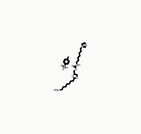 CCCCCCCCCCCCCCCCCC1OCC(COC(=O)NCCCCCCC[n+]2ccsc2)O1.Cc1ccc(S(=O)(=O)[O-])cc1